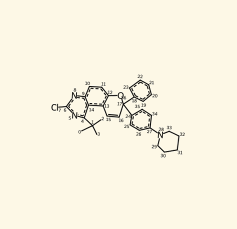 CC(C)(C)c1nc(Cl)nc2ccc3c(c12)C=CC(c1ccccc1)(c1ccc(N2CCCCC2)cc1)O3